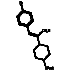 CCCCCC1CCC(C(=Cc2ccc(Br)cc2)C(=O)O)CC1